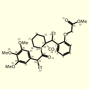 CCC(c1ccccc1OCC(=O)OC)[C@]1(C(=O)O)CCCCN1C(=O)[C@@H](CC)c1cc(OC)c(OC)c(OC)c1